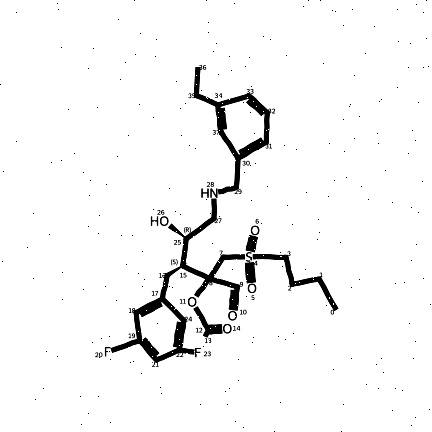 CCCCS(=O)(=O)CC(C=O)(OC(C)=O)[C@@H](Cc1cc(F)cc(F)c1)[C@@H](O)CNCc1cccc(CC)c1